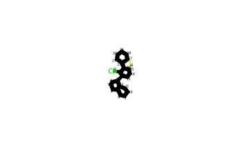 Clc1c(-c2cccc3ccccc23)ccc2sc3ccccc3c12